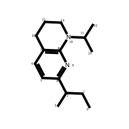 CCC(C)c1ccc2c(n1)N(C(C)C)CCC2